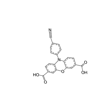 N#Cc1ccc(N2c3ccc(C(=O)O)cc3Oc3cc(C(=O)O)ccc32)cc1